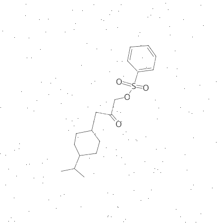 CC(C)C1CCC(CC(=O)COS(=O)(=O)c2ccccc2)CC1